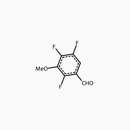 COc1c(F)c(F)cc([C]=O)c1F